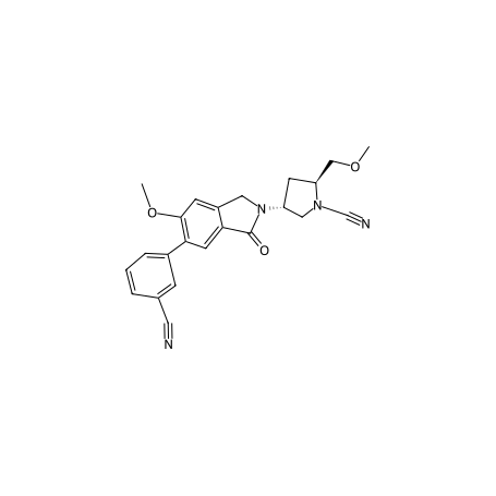 COC[C@@H]1C[C@@H](N2Cc3cc(OC)c(-c4cccc(C#N)c4)cc3C2=O)CN1C#N